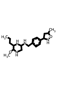 CCCC1NC(NCc2ccc(C3CC(C)ON3)cc2)CNC1OC